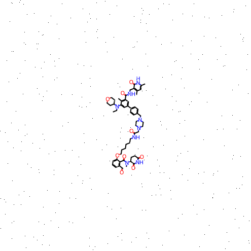 CCN(c1cc(-c2ccc(CN3CCN(CC(=O)NCCCCCCOc4cccc(C=O)c4C(=O)N(C)C4CCC(=O)NC4=O)CC3)cc2)cc(C(=O)NCc2c(C)cc(C)[nH]c2=O)c1C)C1CCOCC1